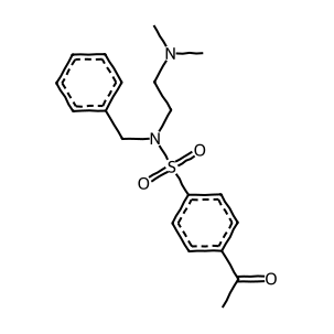 CC(=O)c1ccc(S(=O)(=O)N(CCN(C)C)Cc2ccccc2)cc1